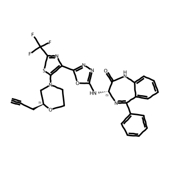 C#CC[C@H]1CN(c2sc(C(F)(F)F)nc2-c2nnc(N[C@H]3N=C(c4ccccc4)c4ccccc4NC3=O)o2)CCO1